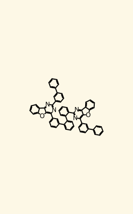 c1ccc(-c2cccc(-c3nc(-c4cccc(-c5ccccc5-c5ccccc5-c5nc(-c6cccc(-c7ccccc7)c6)c6oc7ccccc7c6n5)c4)c4oc5ccccc5c4n3)c2)cc1